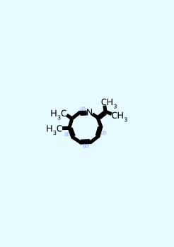 CC(C)=C1\C=C/C=C\C=C(\C)C(C)/C=N\1